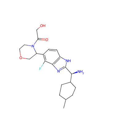 CC1CCC([C@H](N)c2nc3c(F)c(C4COCCN4C(=O)CO)ccc3[nH]2)CC1